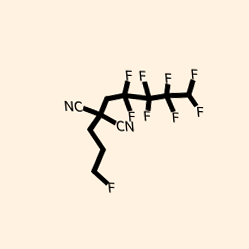 N#CC(C#N)(CCCF)CC(F)(F)C(F)(F)C(F)(F)C(F)F